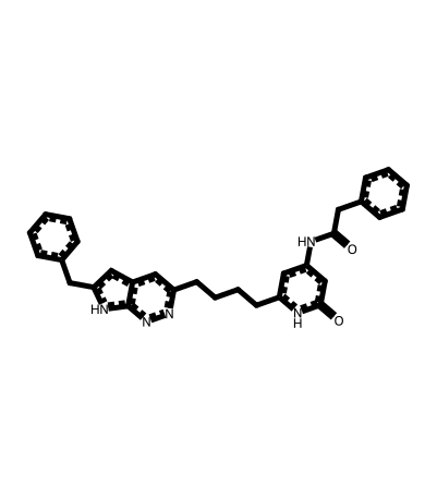 O=C(Cc1ccccc1)Nc1cc(CCCCc2cc3cc(Cc4ccccc4)[nH]c3nn2)[nH]c(=O)c1